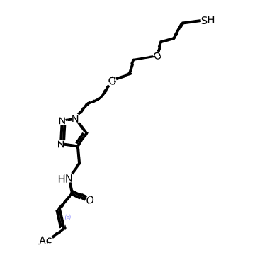 CC(=O)/C=C/C(=O)NCc1cn(CCOCCOCCCS)nn1